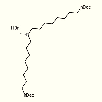 Br.CCCCCCCCCCCCCCCCCCN(C)CCCCCCCCCCCCCCCCCC